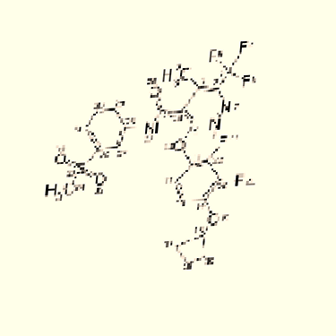 Cc1c(C(F)(F)F)nnc(Oc2ccc(OC3CCC3)c(F)c2F)c1C(=O)Nc1cccc(S(C)(=O)=O)c1